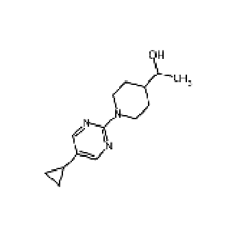 CC(O)C1CCN(c2ncc(C3CC3)cn2)CC1